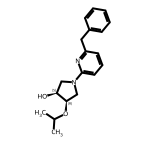 CC(C)O[C@@H]1CN(c2cccc(Cc3ccccc3)n2)C[C@@H]1O